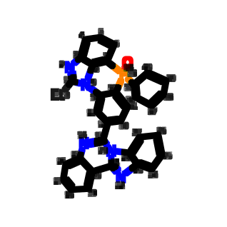 CCc1nc2cccc3c2n1-c1cc(-c2nc4ccccc4c4nc5ccccc5n24)ccc1P3(=O)c1ccccc1